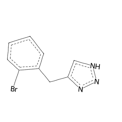 Brc1ccccc1Cc1c[nH]nn1